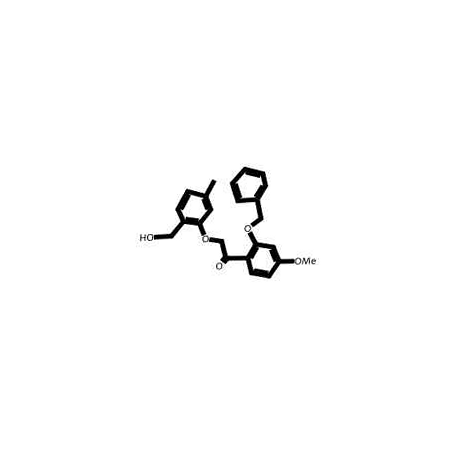 COc1ccc(C(=O)COc2cc(C)ccc2CO)c(OCc2ccccc2)c1